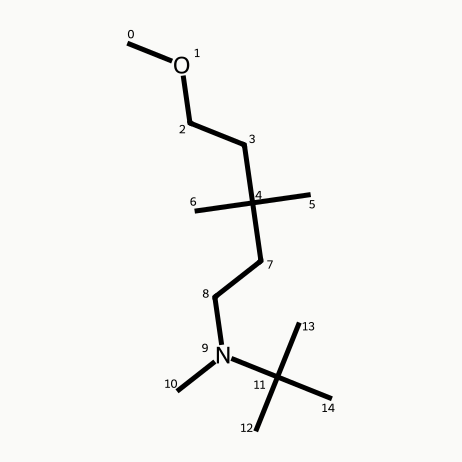 COCCC(C)(C)CCN(C)C(C)(C)C